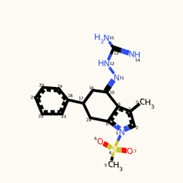 Cc1cn(S(C)(=O)=O)c2c1C(=NNC(=N)N)CC(c1ccccc1)C2